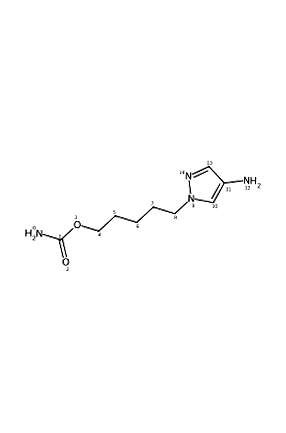 NC(=O)OCCCCCn1cc(N)cn1